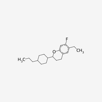 CCCC1CCC(C2CCc3cc(CC)c(F)cc3O2)CC1